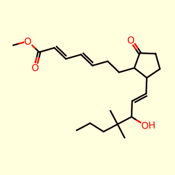 CCCC(C)(C)C(O)/C=C/C1CCC(=O)C1CCC=C/C=C/C(=O)OC